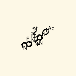 CC(=O)N1CCN(c2cc(O[C@H](C)CN(C)C)c3c(Nc4ccc5ncccc5c4F)ncnc3c2)CC1